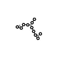 c1ccc(-c2ccc(N(c3ccc(-c4ccc(-c5ccc6c7ccccc7n(-c7ccccc7)c6c5)cc4)cc3)c3ccc(-c4cccc(-c5cccc6c5sc5ccccc56)c4)cc3)cc2)cc1